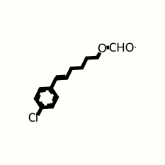 O=[C]OCCCCC=Cc1ccc(Cl)cc1